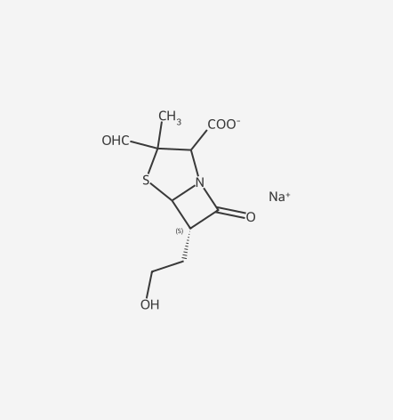 CC1(C=O)SC2[C@@H](CCO)C(=O)N2C1C(=O)[O-].[Na+]